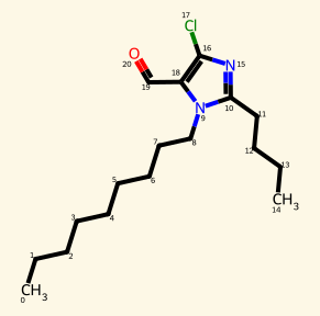 CCCCCCCCCn1c(CCCC)nc(Cl)c1C=O